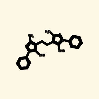 Cc1nn(-c2ccccc2)c(C=O)c1SSc1c(C)nn(-c2ccccc2)c1C=O